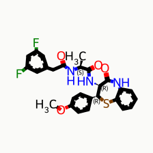 COc1ccc([C@H]2Sc3ccccc3NC(=O)[C@H]2NC(=O)[C@H](C)NC(=O)Cc2cc(F)cc(F)c2)cc1